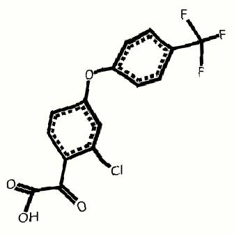 O=C(O)C(=O)c1ccc(Oc2ccc(C(F)(F)F)cc2)cc1Cl